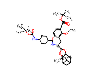 COc1c(C[C@H](NC(=O)C2CCC(NC(=O)OC(C)(C)C)CC2)B2OC3CC4CC(C4(C)C)C3(C)O2)cccc1C(=O)OC(C)(C)C